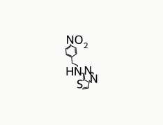 O=[N+]([O-])c1ccc(CCNc2ncnc3ccsc23)cc1